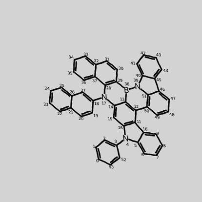 c1ccc(-n2c3ccccc3c3c4c5c(cc32)N(c2ccc3ccccc3c2)c2c(ccc3ccccc23)B5n2c3ccccc3c3cccc-4c32)cc1